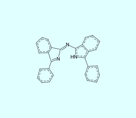 c1ccc(C2=N/C(=N\c3[nH]c(-c4ccccc4)c4ccccc34)c3ccccc32)cc1